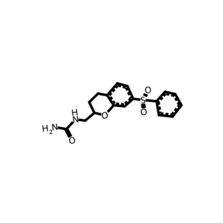 NC(=O)NCC1CCc2ccc(S(=O)(=O)c3ccccc3)cc2O1